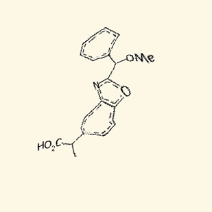 COC(c1ccccc1)c1nc2cc(C(C)C(=O)O)ccc2o1